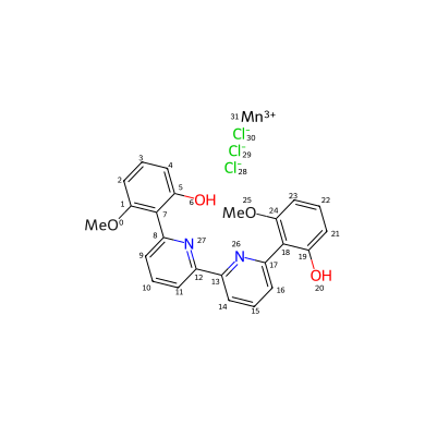 COc1cccc(O)c1-c1cccc(-c2cccc(-c3c(O)cccc3OC)n2)n1.[Cl-].[Cl-].[Cl-].[Mn+3]